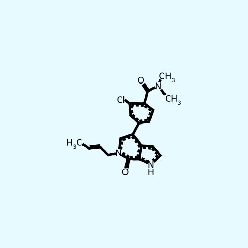 CC=CCn1cc(-c2ccc(C(=O)N(C)C)c(Cl)c2)c2cc[nH]c2c1=O